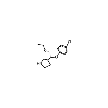 CCSC[C@H](Oc1ccc(Cl)cc1)C1CCNC1